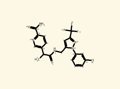 CC(C(=O)NCc1cc(C(F)(F)F)nn1-c1cccc(Cl)c1)c1ccc(C(N)=O)nc1